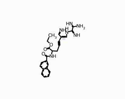 CCOC(=O)C(CC#C/C(C=N)=C/NC(=N)C(=N)N)NC(=O)c1ccc2ccccc2c1